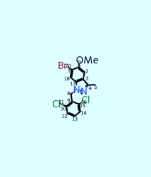 COc1cc2c(C)nn(Cc3c(Cl)cccc3Cl)c2cc1Br